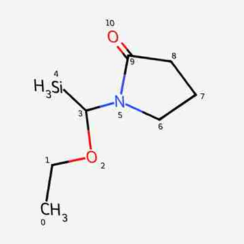 CCOC([SiH3])N1CCCC1=O